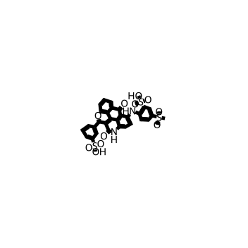 CS(=O)(=O)c1ccc(Nc2ccc3[nH]c(=O)c(C(=O)c4cccc(S(=O)(=O)O)c4)c4c3c2C(=O)c2ccccc2-4)c(S(=O)(=O)O)c1